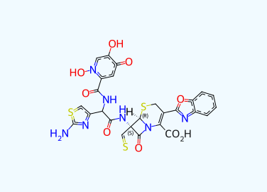 Nc1nc(C(NC(=O)c2cc(=O)c(O)cn2O)C(=O)N[C@@]2(C=S)C(=O)N3C(C(=O)O)=C(c4nc5ccccc5o4)CS[C@@H]32)cs1